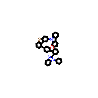 c1ccc(-n2c(-c3cccc4oc5cc(-c6cccc7sc8ccc(-n9c%10ccccc%10c%10ccccc%109)cc8c67)ccc5c34)nc3ccccc32)cc1